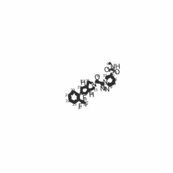 CNS(=O)(=O)c1ccc2nnc(C(=O)N3C[C@H]4C[C@H](c5ccccc5C(F)(F)F)C[C@H]4C3)n2c1